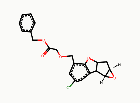 O=C(COCc1cc(Cl)cc2c1OC1C[C@H]3O[C@H]3C21)OCc1ccccc1